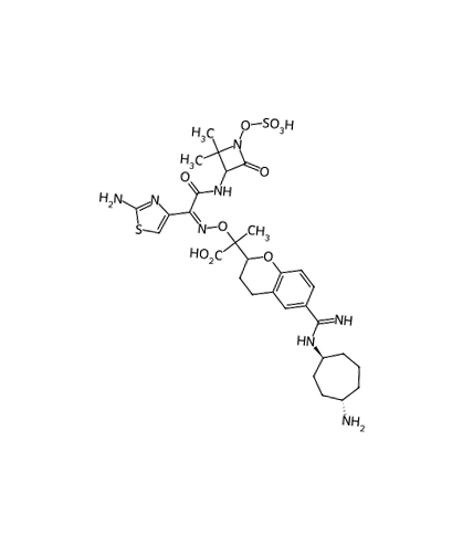 CC(ON=C(C(=O)NC1C(=O)N(OS(=O)(=O)O)C1(C)C)c1csc(N)n1)(C(=O)O)C1CCc2cc(C(=N)N[C@H]3CCC[C@H](N)CC3)ccc2O1